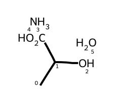 CC(O)C(=O)O.N.O